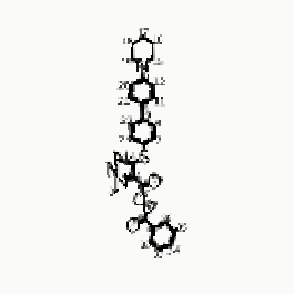 Cn1nnc(Sc2ccc(-c3ccc(N4CCCCC4)cc3)cc2)c1C(=O)OOC(=O)c1ccccc1